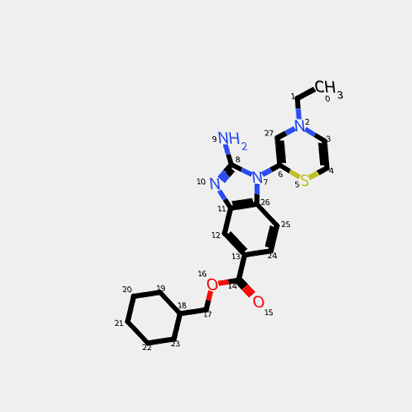 CCN1C=CSC(n2c(N)nc3cc(C(=O)OCC4CCCCC4)ccc32)=C1